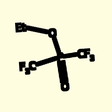 CCOP(=O)(C(F)(F)F)C(F)(F)F